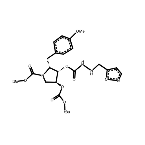 COc1ccc(C[C@@H]2[C@H](OC(=O)NNCc3ccno3)[C@@H](OC(=O)OC(C)(C)C)CN2C(=O)OC(C)(C)C)cc1